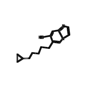 Oc1cc2nccn2cc1CCCCCC1CC1